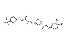 O=C(COc1ccc(C(F)(F)F)nc1)NCC[C@H](O)CNC(=O)COc1ccc(Cl)c(Cl)c1